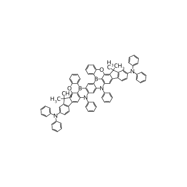 CC1(C)c2cc(N(c3ccccc3)c3ccccc3)ccc2-c2cc3c4c(c21)Oc1ccccc1B4c1cc2c(cc1N3c1ccccc1)N(c1ccccc1)c1cc3c(c4c1B2c1ccccc1O4)C(C)(C)c1cc(N(c2ccccc2)c2ccccc2)ccc1-3